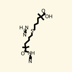 CC(C)(CCCCSCCCCC(C)(C)C(=O)NC#N)C(=O)O.N#CN